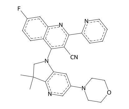 CC1(C)CN(c2c(C#N)c(-c3ccccn3)nc3cc(F)ccc23)c2cc(N3CCOCC3)cnc21